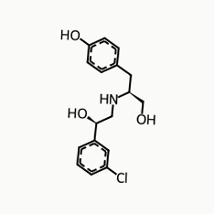 OC[C@H](Cc1ccc(O)cc1)NC[C@H](O)c1cccc(Cl)c1